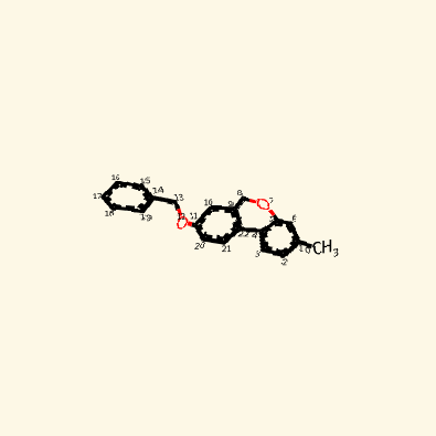 Cc1ccc2c(c1)OCc1cc(OCc3ccccc3)ccc1-2